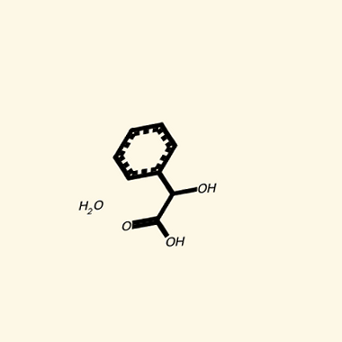 O.O=C(O)C(O)c1ccccc1